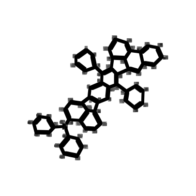 c1ccc(-c2c3cc4c(cc3c(-c3ccccc3)c3c5cc6ccccc6c6cccc(c23)c65)c2cccc3c(N(c5ccccc5)c5ccccc5)ccc4c32)cc1